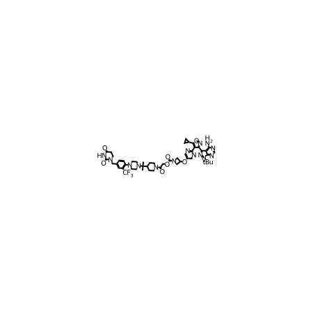 CC(C)(C1CCN(C(=O)COC(=O)N2CC(Oc3cnc(-c4c(-c5nn(C(C)(C)C)c6ncnc(N)c56)noc4C4CC4)nc3)C2)CC1)N1CCN(c2ccc(CN3CCC(=O)NC3=O)cc2C(F)(F)F)CC1